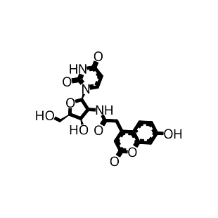 O=C(Cc1cc(=O)oc2cc(O)ccc12)NC1[C@@H](O)[C@@H](CO)O[C@H]1n1ccc(=O)[nH]c1=O